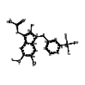 COc1cc2c(CC(=O)O)c(C)n(Cc3cccc(C(F)(F)F)c3)c2cc1Cl